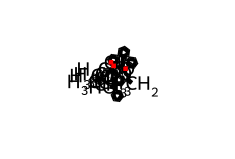 C=CCOC(=O)C(N1C(=O)[C@H]([C@@H](C)O[Si](C)(C)C(C)(C)C)[C@H]1[C@H]1CCCC(C(O)c2ccccc2)C1=O)=P(c1ccccc1)(c1ccccc1)c1ccccc1